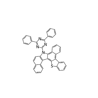 c1ccc(-c2nc(-c3ccccc3)nc(-n3c4ccc5ccccc5c4c4c5sc6ccccc6c5c5ccccc5c43)n2)cc1